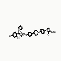 CCCCn1ncn(-c2ccc(N3CCN(c4ccc(OC[C@@H]5CO[C@@](Cn6ccnc6)(c6ccc(Cl)cc6Cl)O5)cc4)CC3)cc2)c1=O